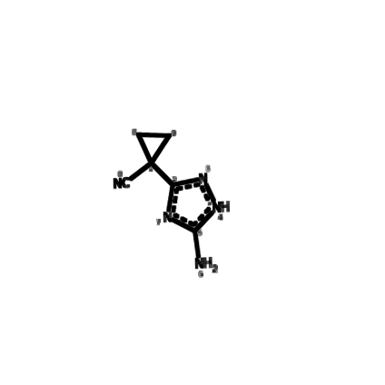 N#CC1(c2n[nH]c(N)n2)CC1